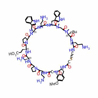 CCCC[C@H]1C(=O)N[C@@H](CCCN)C(=O)NCCSCC(=O)N[C@@H](Cc2ccc(OC)cc2)C(=O)N(C)CC(=O)N[C@@H](CCN)C(=O)N2CCCC2C(=O)N[C@@H](CN)C(=O)N[C@@H](CCC(=O)O)C(=O)N2CCCC2C(=O)N[C@@H](Cc2c[nH]c3ccccc23)C(=O)N[C@@H](CCN)C(=O)N[C@@H](Cc2c[nH]c3ccccc23)C(=O)N(C)CC(=O)N1C